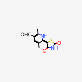 CC1=CC(C=O)=C(C)NC1=C1SC(=O)NC1=O